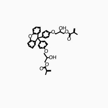 C=C(C)C(=O)OCC(O)COc1ccc(C2(c3ccc(OCC(O)COC(=O)C(=C)C)cc3)c3ccccc3Oc3ccccc32)cc1